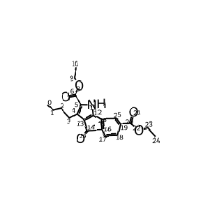 CCCCc1c(C(=O)OCC)[nH]c2c1C(=O)c1ccc(C(=O)OCC)cc1-2